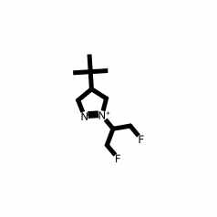 CC(C)(C)C1CN=[N+](C(CF)CF)C1